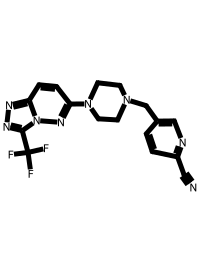 N#Cc1ccc(CN2CCN(c3ccc4nnc(C(F)(F)F)n4n3)CC2)cn1